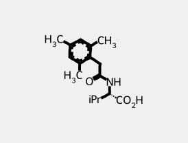 Cc1cc(C)c(CC(=O)N[C@H](C(=O)O)C(C)C)c(C)c1